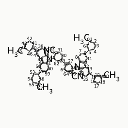 Cc1cccc(-c2ccc3c(c2)c2cc(-c4cccc(C)c4)ccc2n3-c2cc(-c3ccc(C#N)c(-n4c5ccc(-c6cccc(C)c6)cc5c5cc(-c6cccc(C)c6)ccc54)c3)ccc2C#N)c1